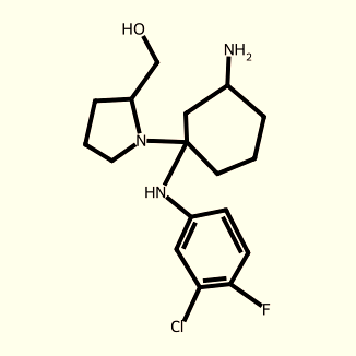 NC1CCCC(Nc2ccc(F)c(Cl)c2)(N2CCCC2CO)C1